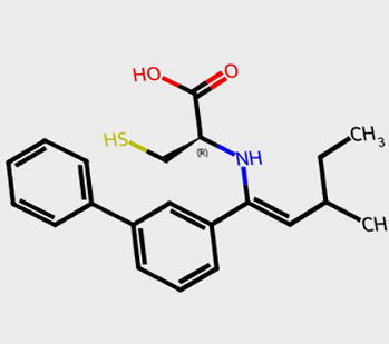 CCC(C)C=C(N[C@@H](CS)C(=O)O)c1cccc(-c2ccccc2)c1